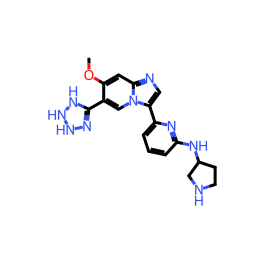 COc1cc2ncc(-c3cccc(NC4CCNC4)n3)n2cc1C1=NNNN1